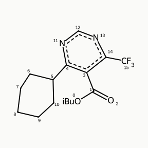 CC(C)COC(=O)c1c(C2CCCCC2)ncnc1C(F)(F)F